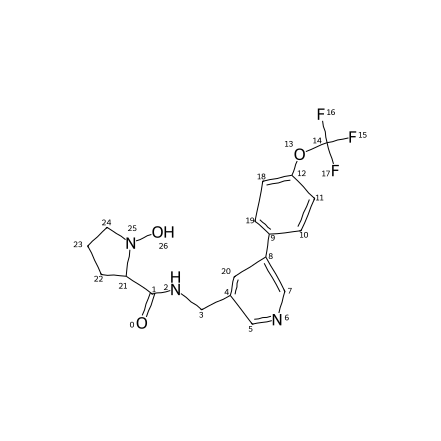 O=C(NCc1cncc(-c2ccc(OC(F)(F)F)cc2)c1)C1CCCN1O